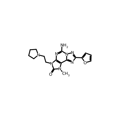 Cn1c(=O)n(CCN2CCCC2)c2nc(N)n3nc(-c4ccco4)nc3c21